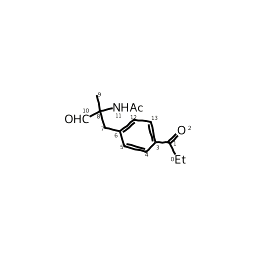 CCC(=O)c1ccc(CC(C)(C=O)NC(C)=O)cc1